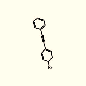 BrC1C=CC(C#Cc2ccccc2)=CC1